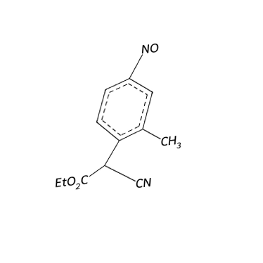 CCOC(=O)C(C#N)c1ccc(N=O)cc1C